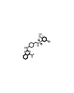 CN(C)c1nc(NC2CCC(CNS(=O)(=O)c3cc(Br)ccc3OC(F)(F)F)CC2)nc2ccccc12